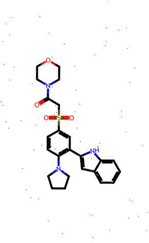 O=C(CS(=O)(=O)c1ccc(N2CCCC2)c(-c2cc3ccccc3[nH]2)c1)N1CCOCC1